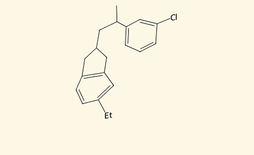 CCc1ccc2c(c1)CC(CC(C)c1cccc(Cl)c1)C2